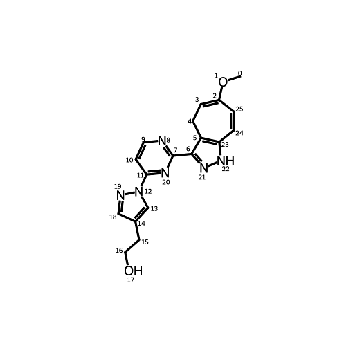 COC1=CCc2c(-c3nccc(-n4cc(CCO)cn4)n3)n[nH]c2C=C1